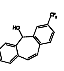 OC1c2ccccc2C=Cc2ccc(C(F)(F)F)cc21